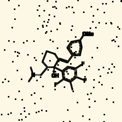 COc1ccc(C=C2CCCC(CN(C)C)C2(O)c2cc(F)c(F)c(C)c2F)cc1